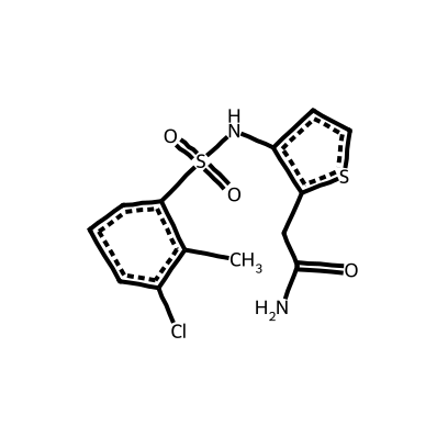 Cc1c(Cl)cccc1S(=O)(=O)Nc1ccsc1CC(N)=O